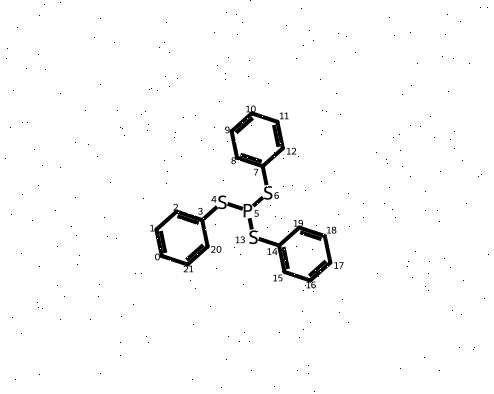 c1ccc(SP(Sc2ccccc2)Sc2ccccc2)cc1